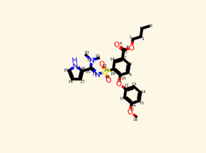 CCCCOC(=O)c1ccc(Oc2cccc(OC)c2)c(S(=O)(=O)N=C(c2ccc[nH]2)N(C)C)c1